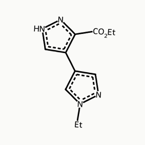 CCOC(=O)c1n[nH]cc1-c1cnn(CC)c1